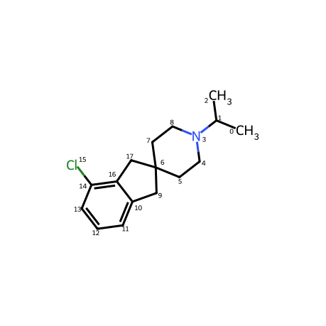 CC(C)N1CCC2(CC1)Cc1cccc(Cl)c1C2